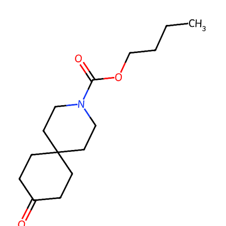 CCCCOC(=O)N1CCC2(CCC(=O)CC2)CC1